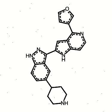 c1cc2[nH]c(-c3n[nH]c4ccc(C5CCNCC5)cc34)cc2c(-c2ccoc2)n1